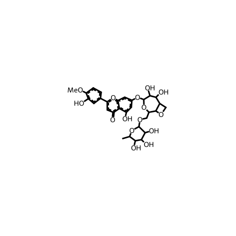 COc1ccc(-c2cc(=O)c3c(O)cc(OC4OC(COC5OC(C)C(O)C(O)C5O)C5OCC5C(O)C4O)cc3o2)cc1O